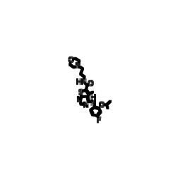 Cc1c(C(=O)NCCCN2CCOCC2)sc2ncnc(Nc3ccc(F)cc3OC(C)C)c12